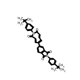 CC(C)(C)c1ccc(N2C(=O)/C=C/C=C(c3ccc4c(c3)C(=O)N(c3ccc(C(C)(C)C)cc3)C4=O)\C=C\C2=O)cc1